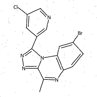 Cc1nc2ccc(Br)cc2n2c(-c3cncc(Cl)c3)nnc12